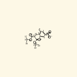 Cc1cc([N+](=O)[O-])ccc1CC(C(=O)OC(C)C)C(=O)OC(C)C